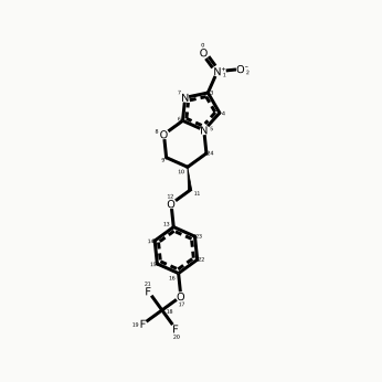 O=[N+]([O-])c1cn2c(n1)OC[C@H](COc1ccc(OC(F)(F)F)cc1)C2